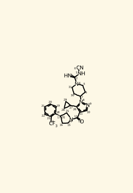 N#CNC(=N)N1CCC(n2ncc(C(=O)N3CC[C@@H](c4ccccc4C(F)(F)F)C3)c2C2CC2)CC1